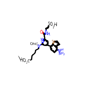 NNc1ccc(-c2cc(C(=O)NCCS(=O)(=O)O)nc(N(C=O)CCCCCC(=O)O)c2)c2sccc12